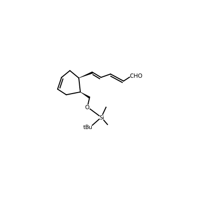 CC(C)(C)[Si](C)(C)OC[C@H]1CC=CC[C@H]1/C=C/C=C/C=O